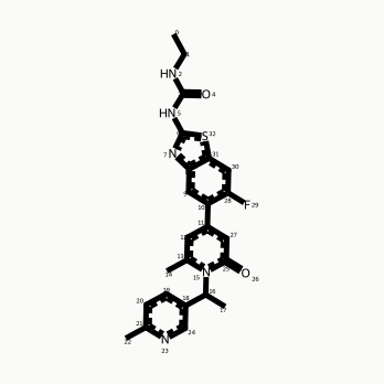 CCNC(=O)Nc1nc2cc(-c3cc(C)n(C(C)c4ccc(C)nc4)c(=O)c3)c(F)cc2s1